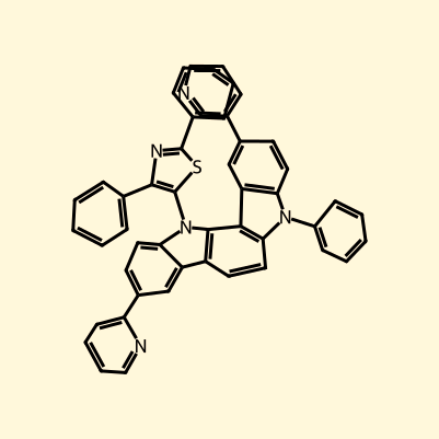 c1ccc(-c2nc(-c3ccccc3)c(-n3c4ccc(-c5ccccn5)cc4c4ccc5c(c6cc(-c7cccnc7)ccc6n5-c5ccccc5)c43)s2)cc1